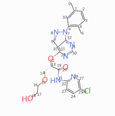 Cc1ccc(C)c(-n2ncc3c(O[C@@H](COCCO)C(=O)Nc4ccc(Cl)cn4)ncnc32)c1